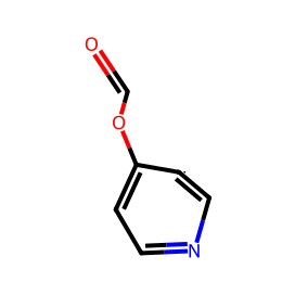 O=COc1[c]cncc1